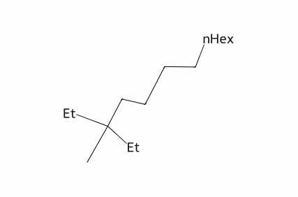 CCCCCCCCCCC(C)(CC)CC